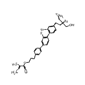 C=C(C)C(=O)OCCCc1ccc(-c2ccc(-c3ccc(CCC(CC)(CO)CO)cc3CC)c(F)c2)cc1